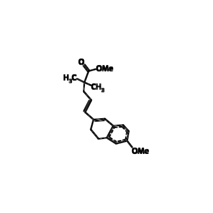 COC(=O)C(C)(C)CC=CC1=Cc2ccc(OC)cc2CC1